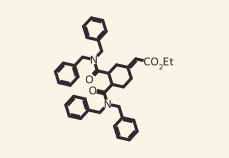 CCOC(=O)C=C1CCC(C(=O)N(Cc2ccccc2)Cc2ccccc2)C(C(=O)N(Cc2ccccc2)Cc2ccccc2)C1